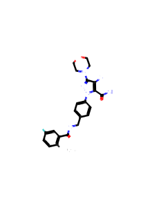 COc1ccc(F)cc1C(=O)NCc1ccc(-n2nc(N3CCOCC3)c(N)c2C(N)=O)cc1